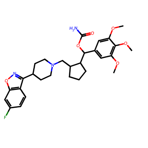 COc1cc(C(OC(N)=O)C2CCCC2CN2CCC(c3noc4cc(F)ccc34)CC2)cc(OC)c1OC